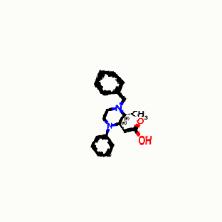 C[C@@H]1[C@@H](CC(=O)O)N(c2ccccc2)CCN1Cc1ccccc1